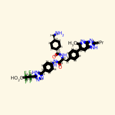 Cc1nc2nc(C(C)C)[nH]c2cc1-c1ccc(C[C@H](NC(=O)[C@H]2CC[C@H](CN)CC2)C(=O)Nc2ccc(-c3nnc(C(F)(F)C(F)(F)C(=O)O)[nH]3)cc2)cc1